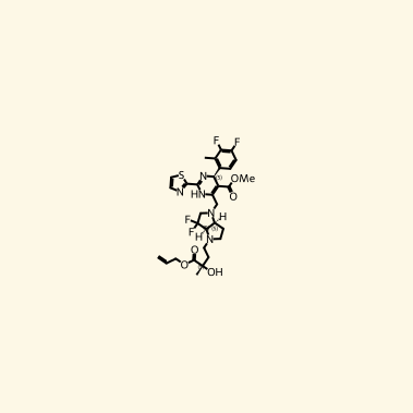 C=CCOC(=O)[C@@](C)(O)CCN1CC[C@H]2[C@@H]1C(F)(F)CN2CC1=C(C(=O)OC)[C@H](c2ccc(F)c(F)c2C)N=C(c2nccs2)N1